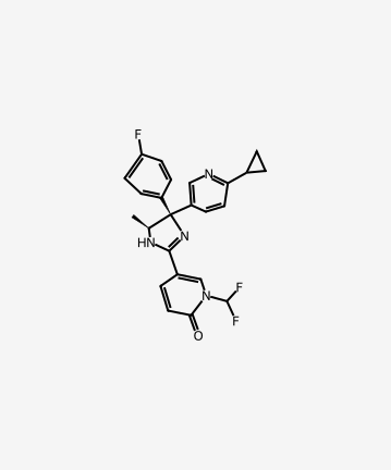 C[C@@H]1NC(c2ccc(=O)n(C(F)F)c2)=N[C@@]1(c1ccc(F)cc1)c1ccc(C2CC2)nc1